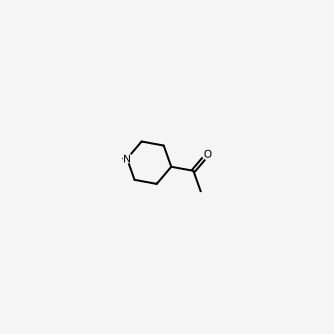 CC(=O)C1CC[N]CC1